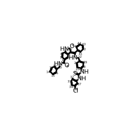 O=C1Nc2ccc(C(=O)NCc3ccccc3)cc2C1=C(NCc1ccc(NC(=S)Nc2cccc(Cl)c2)cc1)c1ccccc1